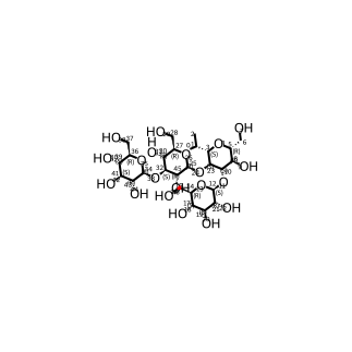 CC(C)[C@@H]1O[C@H](CO)[C@@H](O)[C@H](O[C@@H]2O[C@H](CO)[C@@H](O)[C@H](O)[C@H]2O)[C@H]1O[C@@H]1O[C@H](CO)[C@@H](O)[C@H](O[C@@H]2O[C@H](CO)[C@@H](O)[C@H](O)[C@H]2O)[C@H]1O